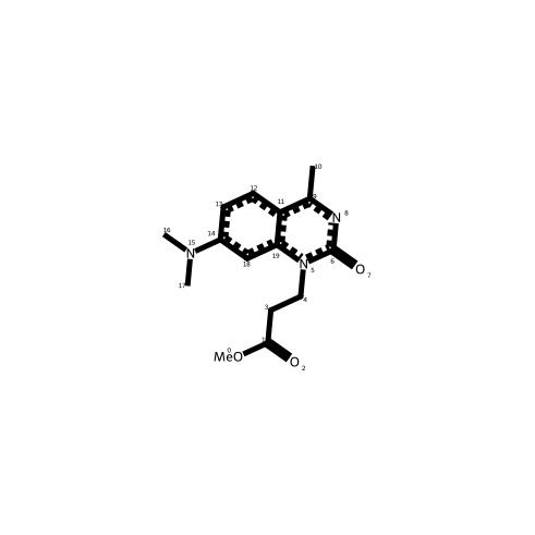 COC(=O)CCn1c(=O)nc(C)c2ccc(N(C)C)cc21